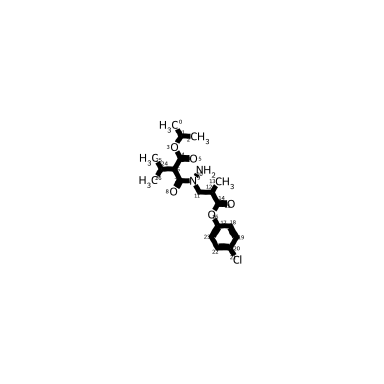 CC(C)OC(=O)C(C(=O)N(N)CC(C)C(=O)Oc1ccc(Cl)cc1)C(C)C